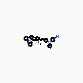 CC1(C)c2cc(/C=C/c3ccc(N(c4ccccc4)c4ccc(C#N)cc4)cc3)ccc2-c2ccc3c4ccccc4n(-c4ccccc4)c3c21